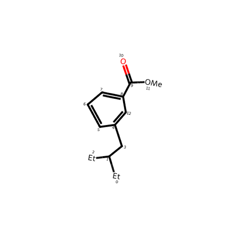 CCC(CC)Cc1cccc(C(=O)OC)c1